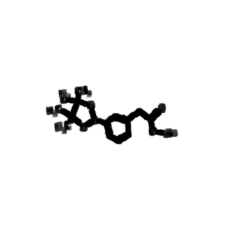 CC(C)(C)OC(=O)Cc1cccc(B2OC(C)(C)C(C)(C)O2)c1